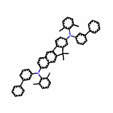 Cc1cccc(C)c1N(c1cccc(-c2ccccc2)c1)c1ccc2c(c1)C(C)(C)c1cc3cc(N(c4cccc(-c5ccccc5)c4)c4c(C)cccc4C)ccc3cc1-2